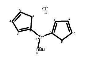 CCC[CH2][Zr+]([C]1=CC=CC1)[C]1=CC=CC1.[Cl-]